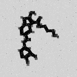 COCCNC(=O)c1c(C)nc2ccc(NCc3ccc(Cl)c(Cl)c3)nn12